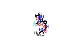 CCC(CC)NC(=O)c1cnc(-c2cccc(-c3cn(CC(O)C(F)(F)F)c(C(=O)NC(C)C4CC4)n3)c2)o1